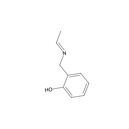 C/C=N/Cc1ccccc1O